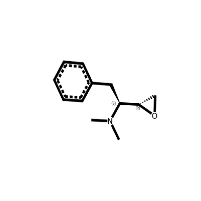 CN(C)[C@@H](Cc1ccccc1)[C@@H]1CO1